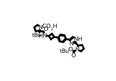 CC(C)(C)OC(=O)N1CCCC1c1nc(-c2ccc(C3CC(NC(=O)C4(C(C)(C)C)CCCN4C(=O)O)C3)cc2)c[nH]1